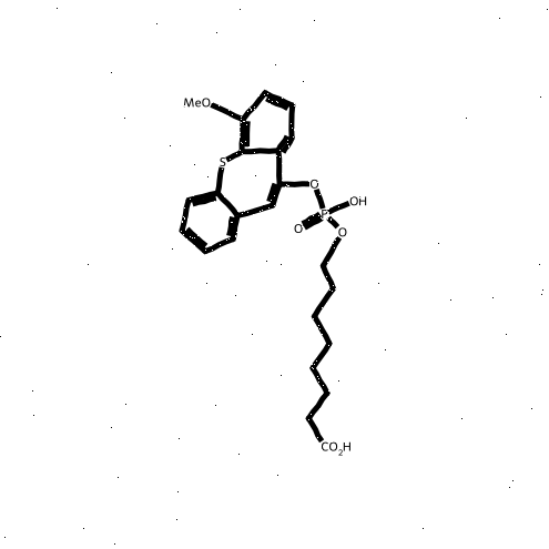 COc1cccc2c1Sc1ccccc1C=C2OP(=O)(O)OCCCCCCCC(=O)O